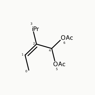 CC=C(C(C)C)C(OC(C)=O)OC(C)=O